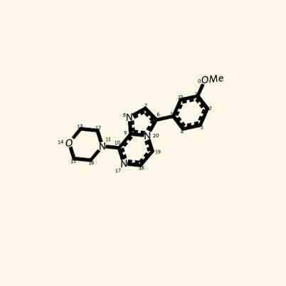 COc1cccc(-c2cnc3c(N4CCOCC4)nccn23)c1